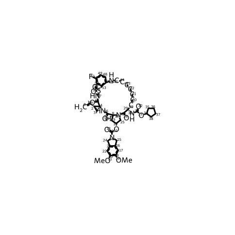 C=C[C@@H]1C[C@@]12NC(=O)[C@@H]1C[C@@H](OC(=O)N3Cc4cc(OC)c(OC)cc4C3)CN1C(=O)[C@@H](NC(=O)OC1CCCC1)CCCCCCCNc1ccc(F)cc1S(=O)(=O)NC2=O